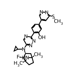 CSc1cc(-c2ccc(-c3ncc(N(C4CC4)[C@H]4C[C@]5(C)CC[C@@](C)(N5)[C@H]4F)nn3)c(O)c2)cnn1